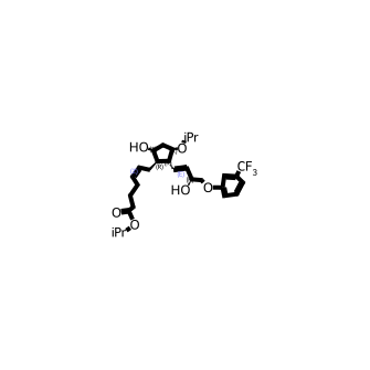 CC(C)OC(=O)CCC/C=C\C[C@@H]1[C@@H](/C=C/[C@@H](O)COc2cccc(C(F)(F)F)c2)[C@H](OC(C)C)C[C@@H]1O